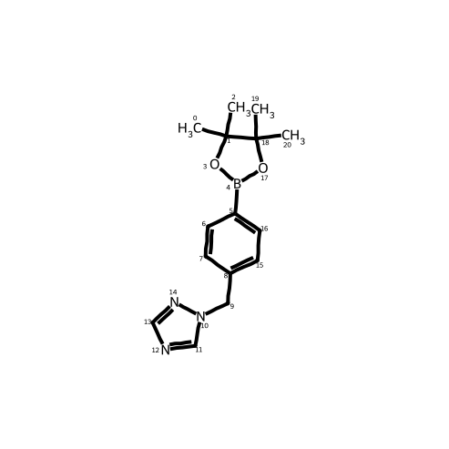 CC1(C)OB(c2ccc(Cn3cncn3)cc2)OC1(C)C